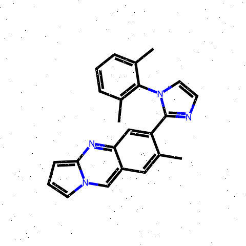 Cc1cc2cn3cccc3nc2cc1-c1nccn1-c1c(C)cccc1C